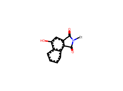 CCN1C(=O)c2cc(O)c3ccccc3c2C1=O